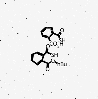 CCCCOC(=O)c1ccccc1C(=O)S.O=C(O)c1ccccc1C(=O)S